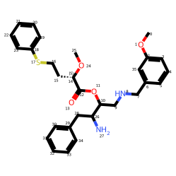 COc1cccc(CNCC(OC(=O)[C@H](CCSc2ccccc2)OC)C(N)Cc2ccccc2)c1